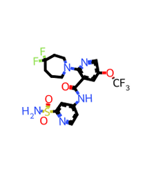 NS(=O)(=O)c1cc(NC(=O)c2cc(OC(F)(F)F)cnc2N2CCCC(F)(F)CC2)ccn1